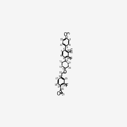 COc1ccc(-c2ccc(C3CCC(OCc4ccc(C5CO5)c(F)c4)CC3)c(F)c2F)cc1